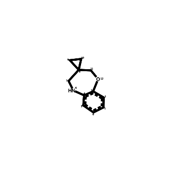 c1ccc2c(c1)NCC1(CC1)CO2